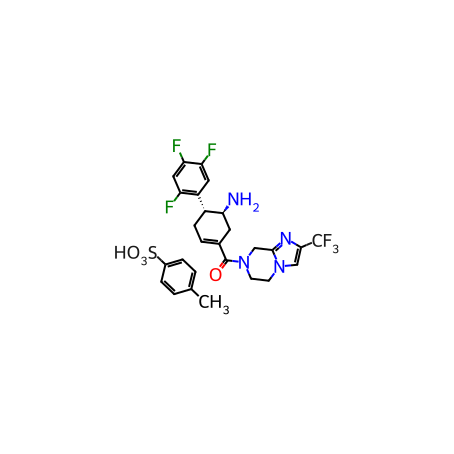 Cc1ccc(S(=O)(=O)O)cc1.N[C@H]1CC(C(=O)N2CCn3cc(C(F)(F)F)nc3C2)=CC[C@@H]1c1cc(F)c(F)cc1F